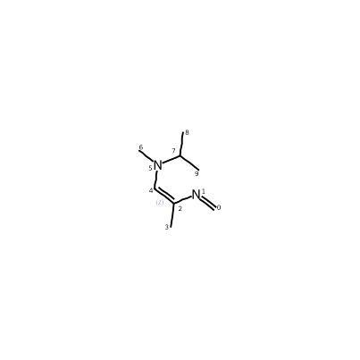 C=N/C(C)=C\N(C)C(C)C